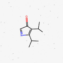 CC(C)C1=C(C(C)C)C(=O)C=N1